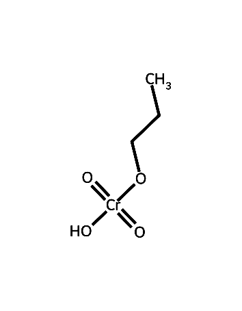 CCC[O][Cr](=[O])(=[O])[OH]